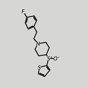 [O-][S+](c1cccs1)C1CCN(CCc2ccc(F)cc2)CC1